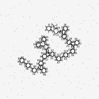 CC1(C)c2ccccc2C2=CC=C(n3c4ccccc4c4cc(-c5ccc6c(c5)c5ccccc5n6-c5cccc(-c6ccc(-c7cccc(-c8ccc9c(c8)c8cc(-c%10ccc%11c(c%10)c%10ccccc%10n%11-c%10cccc(-c%11ccc(-c%12ccccc%12)cc%11)c%10)ccc8n9C8=CC=C9c%10ccccc%10-c%10ccccc%10C9C8)c7)cc6)c5)ccc43)CC21